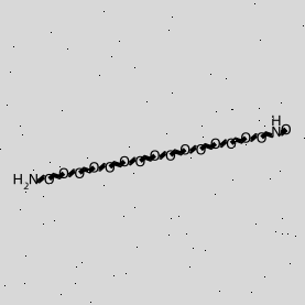 NCCOCCOCCOCCOCCOCCOCCOCCOCCOCCOCCOCCOCCOCCOCCOCCNC=O